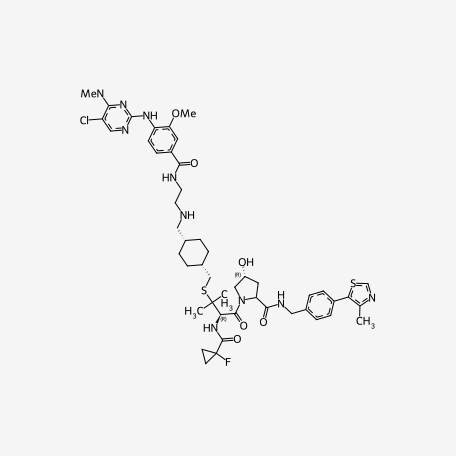 CNc1nc(Nc2ccc(C(=O)NCCNC[C@H]3CC[C@@H](CSC(C)(C)[C@H](NC(=O)C4(F)CC4)C(=O)N4C[C@H](O)CC4C(=O)NCc4ccc(-c5scnc5C)cc4)CC3)cc2OC)ncc1Cl